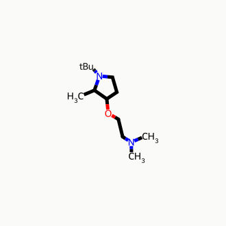 CC1C(OCCN(C)C)CCN1C(C)(C)C